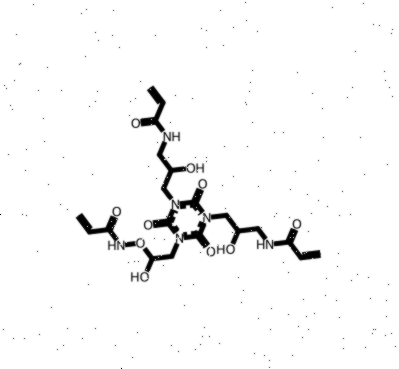 C=CC(=O)NCC(O)Cn1c(=O)n(CC(O)CNC(=O)C=C)c(=O)n(CC(O)ONC(=O)C=C)c1=O